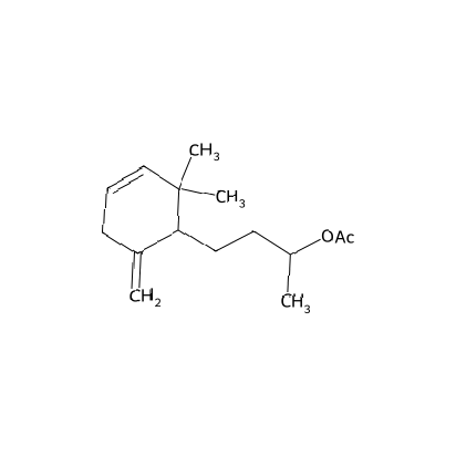 C=C1CC=CC(C)(C)C1CCC(C)OC(C)=O